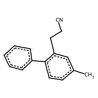 Cc1ccc(-c2[c]cccc2)c(CCC#N)c1